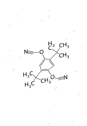 CC(C)(C)c1cc(OC#N)c(C(C)(C)C)cc1OC#N